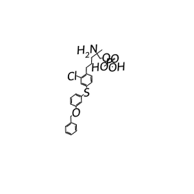 CC(N)(CCCc1ccc(Sc2cccc(OCc3ccccc3)c2)cc1Cl)COP(=O)(O)O